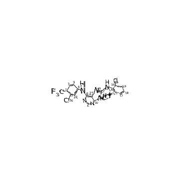 FC(F)(F)c1ccc(Nc2ncnc3[nH]c(Nc4c(Cl)cccc4Cl)nc23)cc1Cl